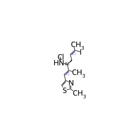 C/C(I)=C/C[C@H](NCl)/C(C)=C/c1csc(C)n1